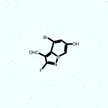 O=Cc1c(F)nn2cc(O)cc(Br)c12